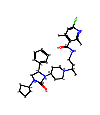 Cc1cc(Cl)nc(C)c1C(=O)NCCC(C)N1CCC(N2C(=O)N(C3CCCC3)C[C@H]2c2ccccc2)CC1